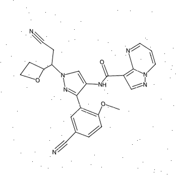 COc1ccc(C#N)cc1-c1nn(C(CC#N)C2CCO2)cc1NC(=O)c1cnn2cccnc12